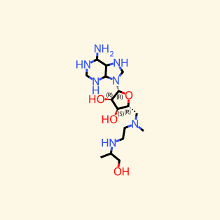 CC(CO)NCCN(C)C[C@H]1O[C@@H](N2CNC3C(N)NCNC32)[C@H](O)[C@@H]1O